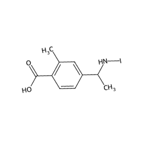 Cc1cc(C(C)NI)ccc1C(=O)O